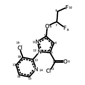 O=C(Cl)c1cc(OC(F)CF)nn1-c1ncccc1Cl